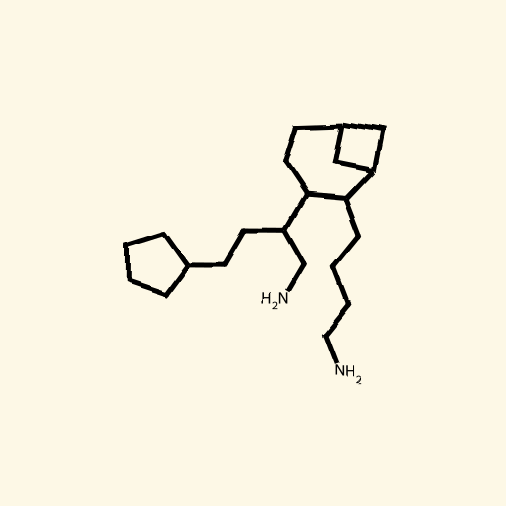 NCCCCC1C2CC(CCC1C(CN)CCC1CCCC1)C2